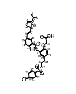 CC(C)c1csc(C=Cc2cccc(C(=O)Nc3cc(CCCS(=O)(=O)c4ccc(Cl)cc4)ccc3OCC(=O)O)c2)n1